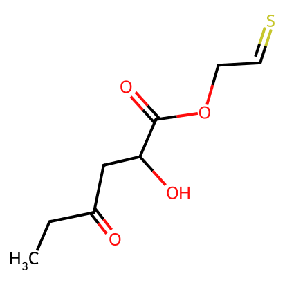 CCC(=O)CC(O)C(=O)OCC=S